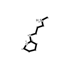 C[SiH2]CCCOC1CCCCO1